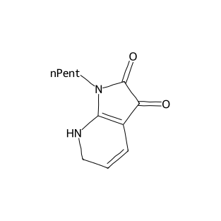 CCCCCN1C(=O)C(=O)C2=C1NCC=C2